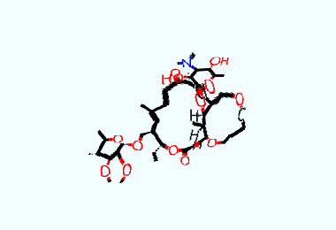 CC[C@H]1OC(=O)C[C@H]2OC/C=C/COCC[C@@H](C[C@@H](C)C(=O)/C=C/C(C)=C/[C@@H]1CO[C@@H]1OC(C)[C@@H](C)[C@H](OC)C1OC)[C@H](O[C@@H]1OC(C)[C@@H](O)C(N(C)C)C1O)[C@H]2C